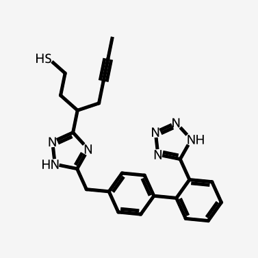 CC#CCC(CCS)c1n[nH]c(Cc2ccc(-c3ccccc3-c3nnn[nH]3)cc2)n1